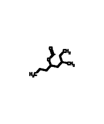 CCCC(CC(C)CC)O[C]=O